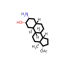 CC(=O)O[C@H]1CC[C@H]2[C@@H]3CC[C@H]4C[C@@H](N)[C@@H](O)C[C@@H]4[C@H]3CC[C@]12C